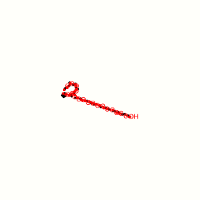 C=CCOCC(C)OCC(C)OCC(C)OCC(C)OC(COCCOCCOCCOCCOCCOCCOCCOCCOCCOCCOCCOCCO)COc1ccccc1